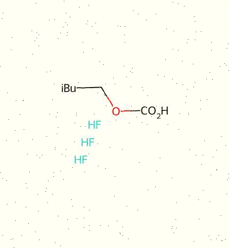 CCC(C)COC(=O)O.F.F.F